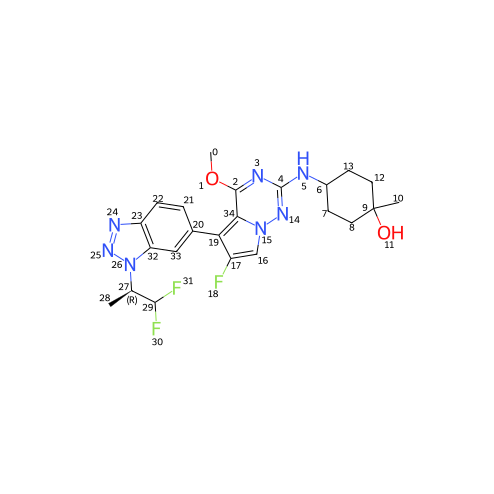 COc1nc(NC2CCC(C)(O)CC2)nn2cc(F)c(-c3ccc4nnn([C@H](C)C(F)F)c4c3)c12